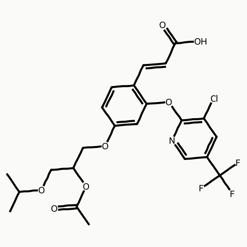 CC(=O)OC(COc1ccc(C=CC(=O)O)c(Oc2ncc(C(F)(F)F)cc2Cl)c1)COC(C)C